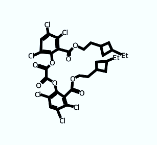 CCC1CC(CCOC(=O)c2c(Cl)c(Cl)cc(Cl)c2OC(=O)C(=O)Oc2c(Cl)cc(Cl)c(Cl)c2C(=O)OCCC2CC(CC)C2)C1